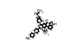 C=CC(=O)N1CC2(CCN(c3nc(C4CCN(C5CCC(C#N)CC5)CC4)nc4c(OCC(F)(F)F)c(-c5c(C)ccc6[nH]ncc56)c(C=C)cc34)CC2)C1